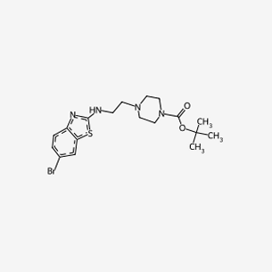 CC(C)(C)OC(=O)N1CCN(CCNc2nc3ccc(Br)cc3s2)CC1